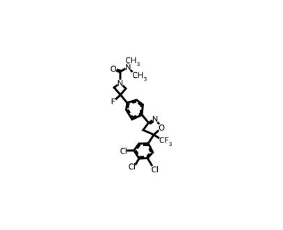 CN(C)C(=O)N1CC(F)(c2ccc(C3=NOC(c4cc(Cl)c(Cl)c(Cl)c4)(C(F)(F)F)C3)cc2)C1